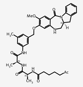 COc1cc2c(cc1OCc1cc(C)cc(NC(=O)[C@H](C)NC(=O)[C@H](C)NC(=O)CCCCC(C)=O)c1)NC[C@@H]1Cc3ccccc3N1C2=O